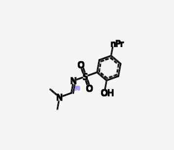 CCCc1ccc(O)c(S(=O)(=O)/N=C/N(C)C)c1